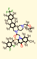 [2H]c1c([2H])c(F)c(F)c(C([2H])([2H])Sc2c([2H])c(=O)c3c([2H])c(C)c([2H])c([2H])c3n2CC(=O)N(Cc2c([2H])c([2H])c(-c3c([2H])c([2H])c(C(F)(F)F)c([2H])c3[2H])c([2H])c2[2H])C2CCN(CC([2H])([2H])OC([2H])([2H])[2H])CC2)c1[2H]